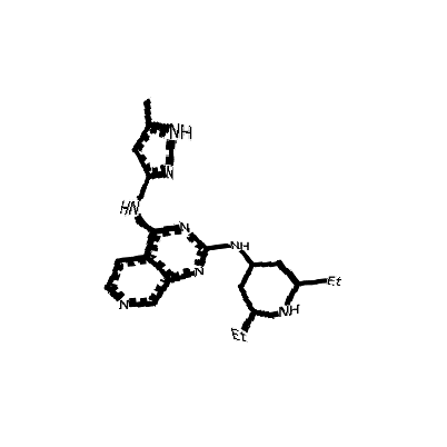 CCC1CC(Nc2nc(Nc3cc(C)[nH]n3)c3ccncc3n2)CC(CC)N1